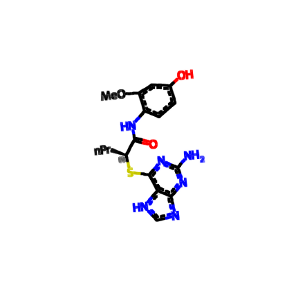 CCC[C@H](Sc1nc(N)nc2nc[nH]c12)C(=O)Nc1ccc(O)cc1OC